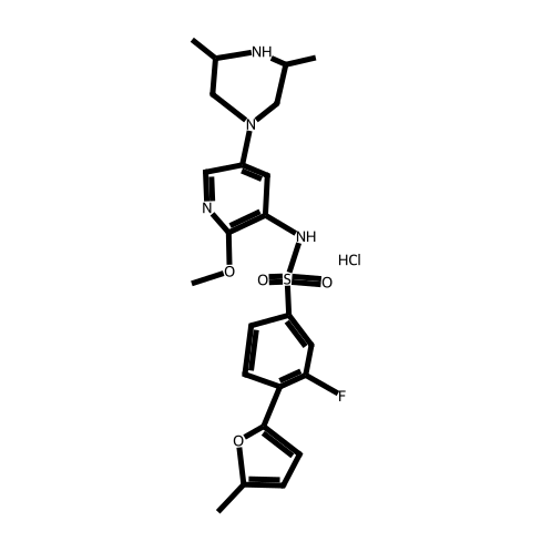 COc1ncc(N2CC(C)NC(C)C2)cc1NS(=O)(=O)c1ccc(-c2ccc(C)o2)c(F)c1.Cl